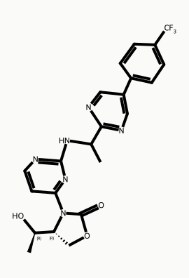 CC(Nc1nccc(N2C(=O)OC[C@@H]2[C@@H](C)O)n1)c1ncc(-c2ccc(C(F)(F)F)cc2)cn1